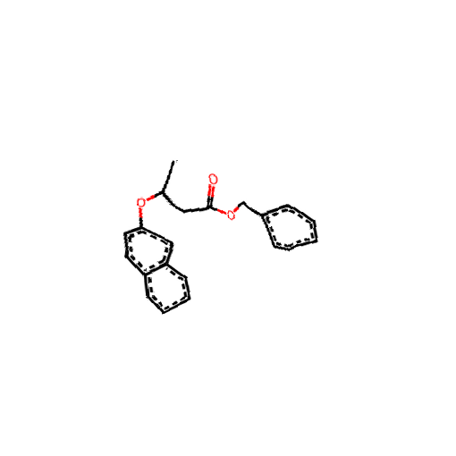 [CH2]C(CC(=O)OCc1ccccc1)Oc1ccc2ccccc2c1